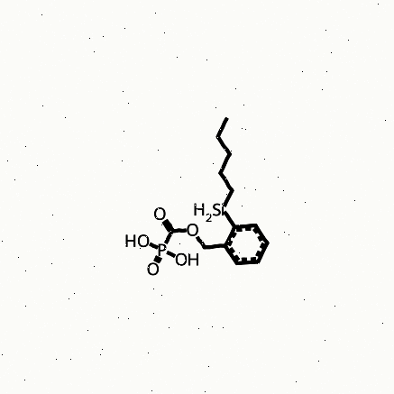 CCCCC[SiH2]c1ccccc1COC(=O)P(=O)(O)O